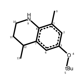 Cc1cc(OC(C)(C)C)cc2c1NCCC2C